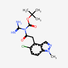 Cn1ncc2c(CC(=O)N(C(=N)N)C(=O)OC(C)(C)C)c(Cl)ccc21